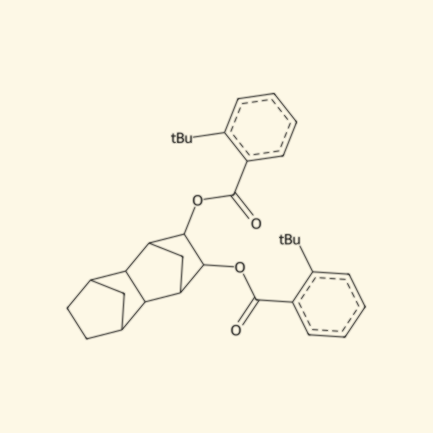 CC(C)(C)c1ccccc1C(=O)OC1C2CC(C1OC(=O)c1ccccc1C(C)(C)C)C1C3CCC(C3)C21